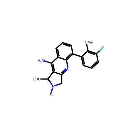 CCN1Cc2nc3c(-c4cccc(F)c4OC)cccc3c(N)c2C1C=O